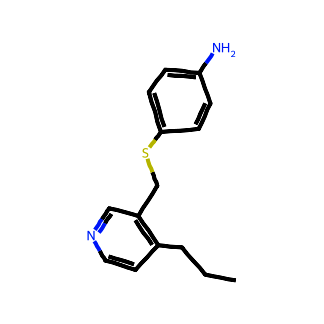 CCCc1ccncc1CSc1ccc(N)cc1